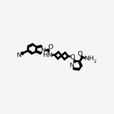 N#Cc1ccc2cn(C(=O)NC3CC4(C3)CC(Oc3ncccc3C(N)=O)C4)cc2c1